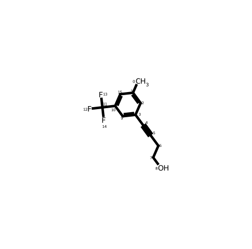 Cc1cc(C#CCCO)cc(C(F)(F)F)c1